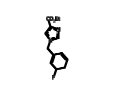 CCOC(=O)c1cn(CC2=CC(F)CC=C2)cn1